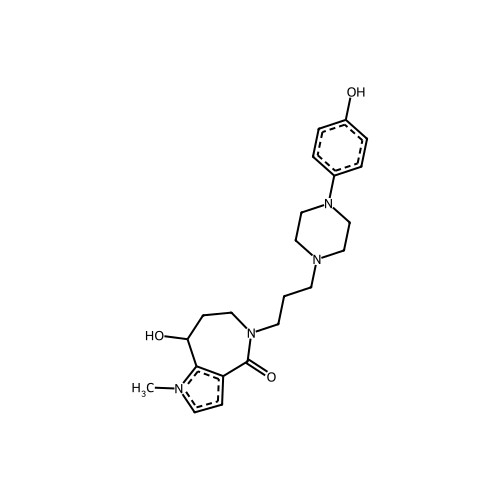 Cn1ccc2c1C(O)CCN(CCCN1CCN(c3ccc(O)cc3)CC1)C2=O